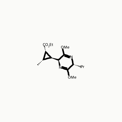 CCOC(=O)[C@H]1[C@@H](C)[C@@H]1[C@@H]1N=C(OC)[C@@H](C(C)C)N=C1OC